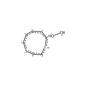 N#CO.c1ccccsccc1